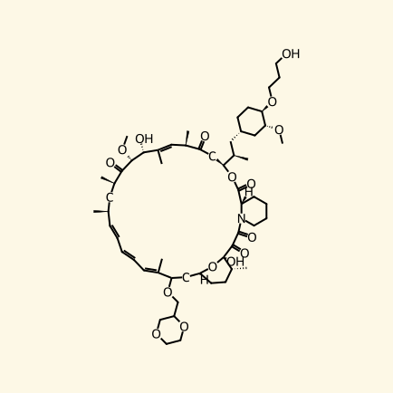 CO[C@@H]1C[C@H](C[C@@H](C)[C@@H]2CC(=O)[C@H](C)/C=C(\C)[C@@H](O)[C@@H](OC)C(=O)[C@H](C)C[C@H](C)/C=C/C=C/C=C(\C)C(OCC3COCCO3)C[C@@H]3CC[C@@H](C)[C@@](O)(O3)C(=O)C(=O)N3CCCC[C@H]3C(=O)O2)CC[C@H]1OCCCO